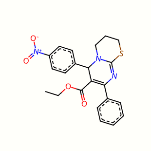 CCOC(=O)C1=C(c2ccccc2)N=C2SCCCN2C1c1ccc([N+](=O)[O-])cc1